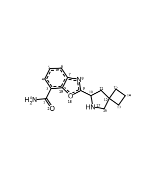 NC(=O)c1cccc2nc(C3CC4(CCC4)CN3)oc12